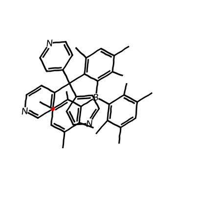 Cc1cc(C)c(C)c(B(c2c(C)c(C)cc(C)c2C)c2c(C)c(C)cc(C)c2C(c2ccncc2)(c2ccncc2)c2ccncc2)c1C